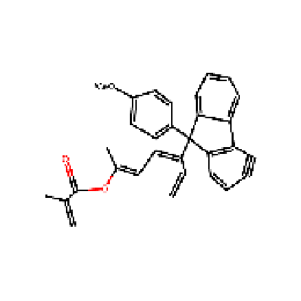 C=C/C(=C\C=C(/C)OC(=O)C(=C)C)C1(c2ccc(OC)cc2)c2ccc#cc2-c2ccccc21